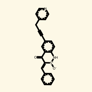 O=C1/C(=C/c2ccccc2)[S+]([O-])Nc2ccc(C#CCc3ccncc3)cc21